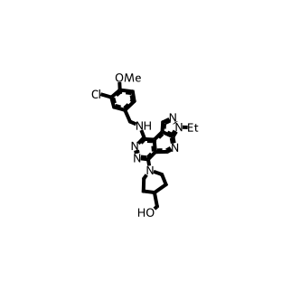 CCn1ncc2c3c(NCc4ccc(OC)c(Cl)c4)nnc(N4CCC(CO)CC4)c3cnc21